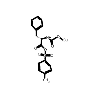 Cc1ccc(S(=O)(=O)OC(=O)[C@H](Cc2ccccc2)NC(=O)OC(C)(C)C)cc1